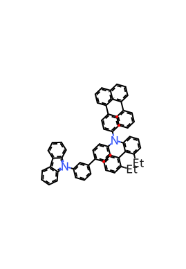 CCc1ccccc1-c1c(CC)cccc1N(c1ccc(-c2cccc(-n3c4ccccc4c4ccccc43)c2)cc1)c1ccc(-c2cccc3cccc(-c4ccccc4)c23)cc1